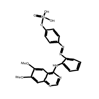 COc1cc2ncnc(Nc3ccccc3N=Nc3ccc(O[As](=O)(O)O)cc3)c2cc1OC